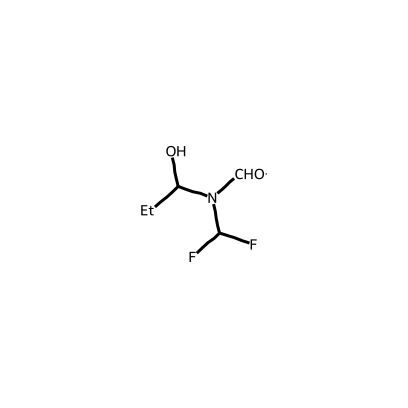 CCC(O)N([C]=O)C(F)F